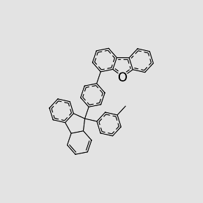 Cc1cccc(C2(c3ccc(-c4cccc5c4oc4ccccc45)cc3)c3ccccc3C3C=CC=CC32)c1